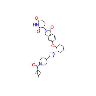 CC12CC(C(=O)N3CCC(C4CN([C@H]5CCCC[C@@H]5Oc5ccc6c(c5)CN(C5CCC(=O)NC5=O)C6=O)C4)CC3)(C1)C2